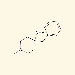 CC(=O)NC1(Cc2ccccc2)CCN(C)CC1